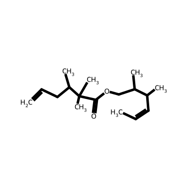 C=CCC(C)C(C)(C)C(=O)OCC(C)C(C)/C=C\C